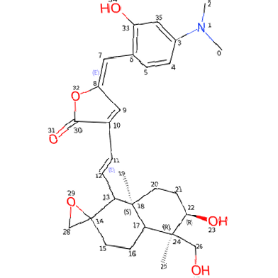 CN(C)c1ccc(/C=C2C=C(/C=C/C3C4(CCC5[C@]3(C)CC[C@@H](O)[C@@]5(C)CO)CO4)C(=O)O\2)c(O)c1